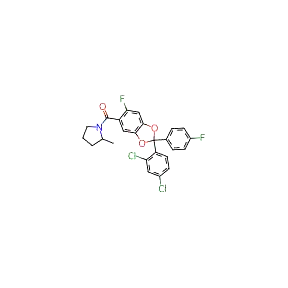 CC1CCCN1C(=O)c1cc2c(cc1F)OC(c1ccc(F)cc1)(c1ccc(Cl)cc1Cl)O2